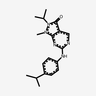 CC(C)c1ccc(Nc2ncc3c(=O)n(C(C)C)n(C)c3n2)cc1